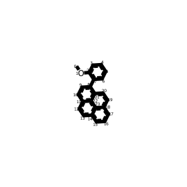 COc1ccccc1-c1ccc2ccc3cccc4ccc1c2c34